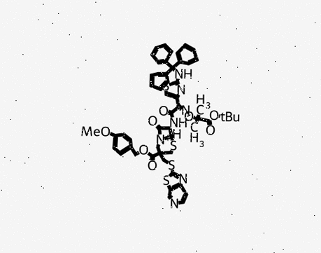 COc1ccc(COC(=O)C2(CSc3nc4ccncc4s3)CS[C@@H]3C(NC(=O)C(=NOC(C)(C)C(=O)OC(C)(C)C)c4csc(NC(c5ccccc5)(c5ccccc5)c5ccccc5)n4)C(=O)N3C2)cc1